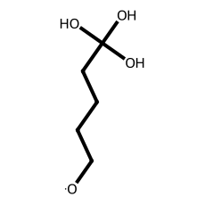 [O]CCCCC(O)(O)O